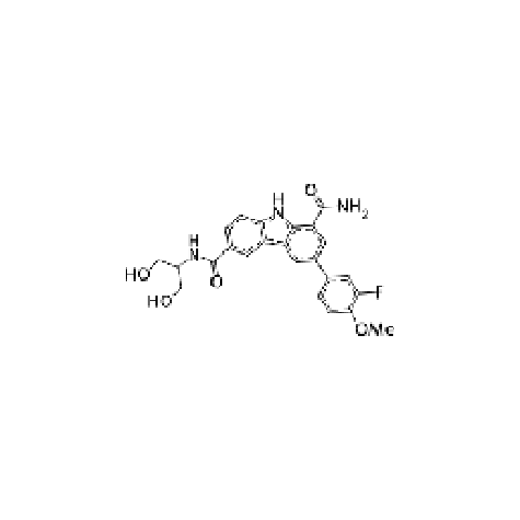 COc1ccc(-c2cc(C(N)=O)c3[nH]c4ccc(C(=O)NC(CO)CO)cc4c3c2)cc1F